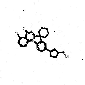 O=c1nc2n(c3cccc(Cl)c13)-c1ccc(C3=CC(CO)CC3)cc1C21CCCCC1